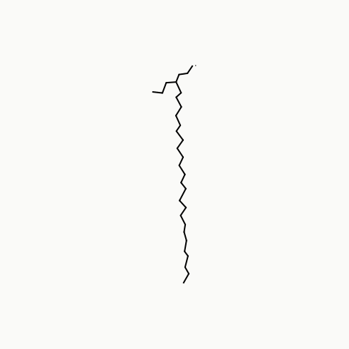 [CH2]CCC(CCC)CCCCCCCCCCCCCCCCCCCCCCCC